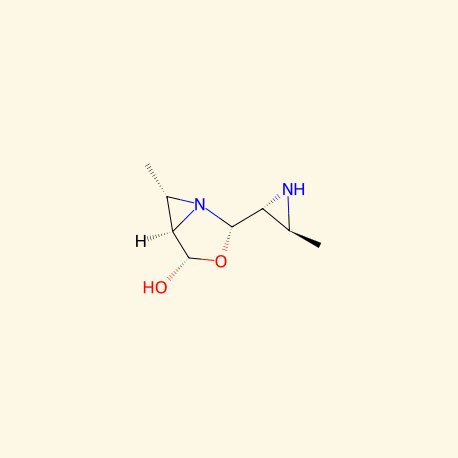 C[C@@H]1N[C@H]1[C@@H]1O[C@H](O)[C@H]2[C@H](C)N21